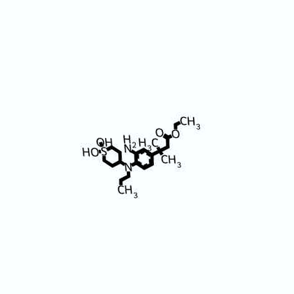 CCCN(c1ccc(C(C)(C)CC(=O)OCC)cc1N)C1CCS(O)(O)CC1